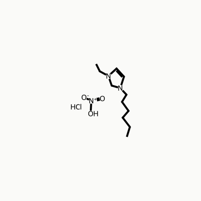 CCCCCCN1C=CN(CC)C1.Cl.O=[N+]([O-])O